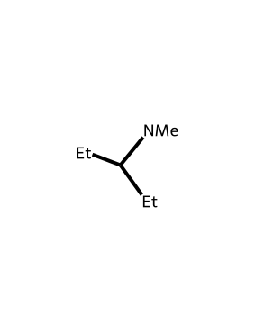 [CH2]CC(CC)NC